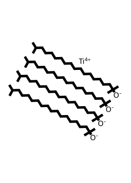 CC(C)CCCCCCCCCCCCCCCC(C)(C)[O-].CC(C)CCCCCCCCCCCCCCCC(C)(C)[O-].CC(C)CCCCCCCCCCCCCCCC(C)(C)[O-].CC(C)CCCCCCCCCCCCCCCC(C)(C)[O-].[Ti+4]